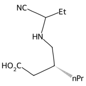 CCC[C@@H](CNC(C#N)CC)CC(=O)O